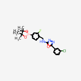 CC1(C)OB(c2ccc(CNc3nnc(-c4cccc(Cl)c4)o3)c(F)c2)OC1(C)C